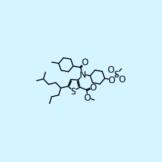 CCCC(CCC(C)C)c1cc(N(C(=O)C2CCC(C)CC2)C2CCC(OS(C)(=O)=O)CC2)c(C(=O)OC)s1